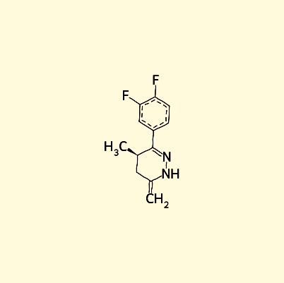 C=C1C[C@@H](C)C(c2ccc(F)c(F)c2)=NN1